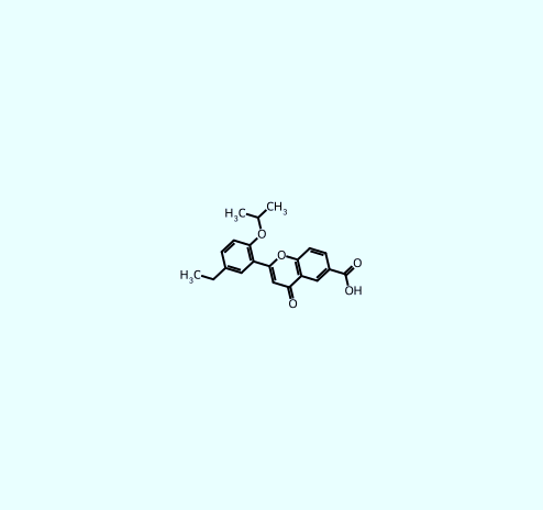 CCc1ccc(OC(C)C)c(-c2cc(=O)c3cc(C(=O)O)ccc3o2)c1